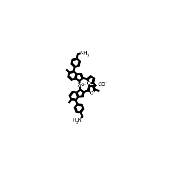 Cc1ccc(C2=Cc3c(ccc(C)c3-c3ccc(CN)cc3)[CH]2[Zr+2][CH]2C(c3ccc(C)o3)=Cc3c2ccc(C)c3-c2ccc(CN)cc2)o1.[Cl-].[Cl-]